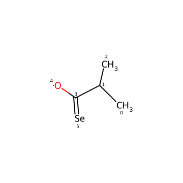 CC(C)C([O])=[Se]